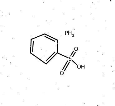 O=S(=O)(O)c1ccccc1.P